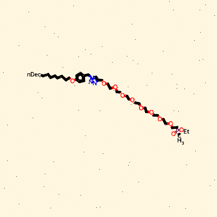 CCCCCCCCCCCCCCCCCCOc1ccc(Cn2cc(COCCOCCOCCOCCOCCOCCOCCOCCP(C)(=O)OCC)nn2)cc1